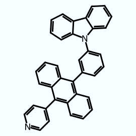 c1cc(-c2c3ccccc3c(-c3ccncc3)c3ccccc23)cc(-n2c3ccccc3c3ccccc32)c1